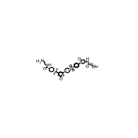 CC(C)(C)OC(=O)N[C@@H]1CC(=O)N(c2ccc(S(=O)(=O)N3CCN(c4cc(C(F)(F)[C@H]5CC[C@H](C(=O)NCCN)CC5)cc(Cl)n4)CC3)cc2)C1